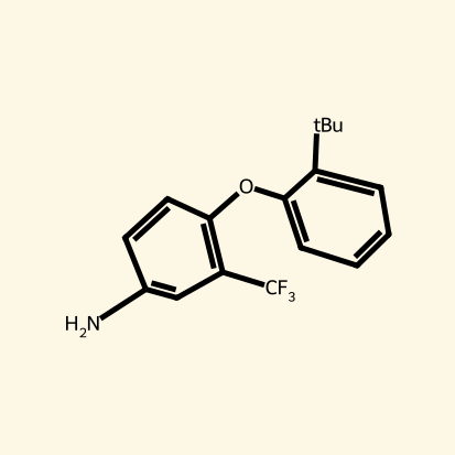 CC(C)(C)c1ccccc1Oc1ccc(N)cc1C(F)(F)F